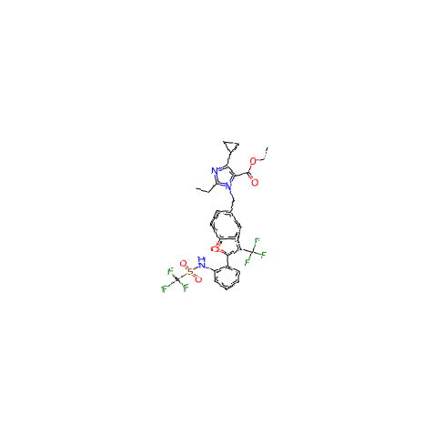 CCOC(=O)c1c(C2CC2)nc(CC)n1Cc1ccc2oc(-c3ccccc3NS(=O)(=O)C(F)(F)F)c(C(F)(F)F)c2c1